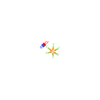 F[P-](F)(F)(F)(F)F.N#[O+]